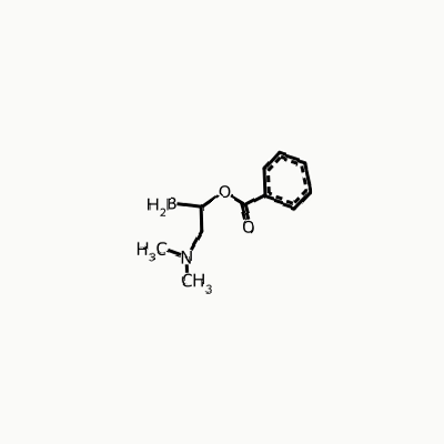 BC(CN(C)C)OC(=O)c1ccccc1